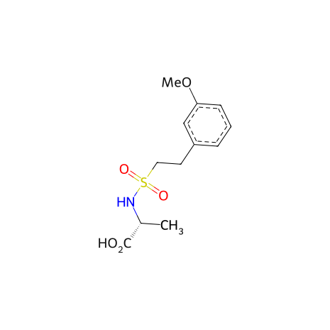 COc1cccc(CCS(=O)(=O)N[C@H](C)C(=O)O)c1